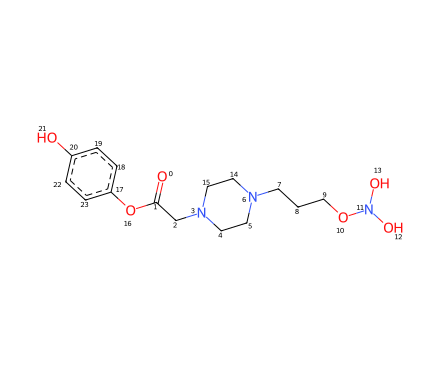 O=C(CN1CCN(CCCON(O)O)CC1)Oc1ccc(O)cc1